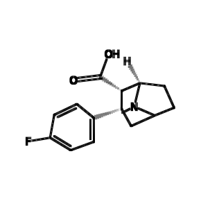 CN1C2CC[C@@H]1[C@@H](C(=O)O)[C@@H](c1ccc(F)cc1)C2